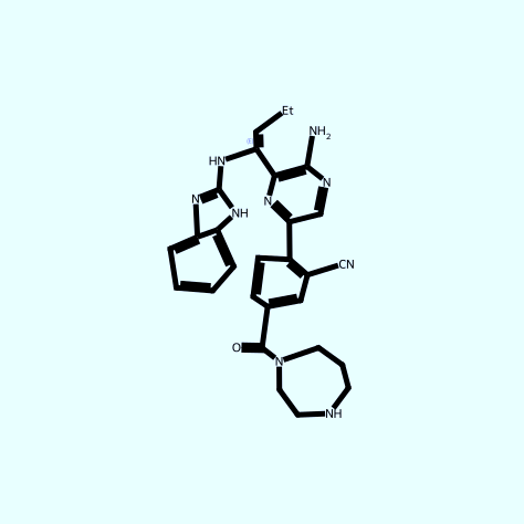 CC/C=C(/Nc1nc2ccccc2[nH]1)c1nc(-c2ccc(C(=O)N3CCCNCC3)cc2C#N)cnc1N